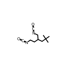 CC(C)(C)CC(CCN=C=O)CN=C=O